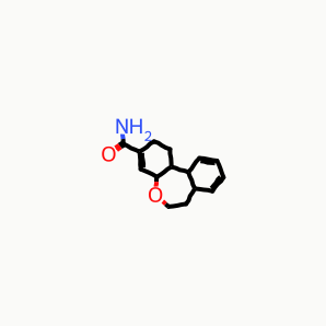 NC(=O)C1=CC2OCCC3C=CC=CC3C2CC1